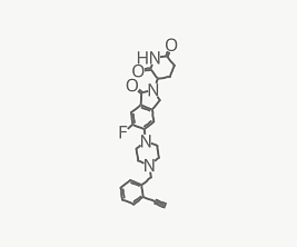 C#Cc1ccccc1CN1CCN(c2cc3c(cc2F)C(=O)N(C2CCC(=O)NC2=O)C3)CC1